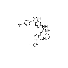 COc1cccc(F)c1CN1CCC[C@@H](NC(=O)Nc2cc3[nH]nc(-c4ccc(C#N)cc4)c3cn2)C1